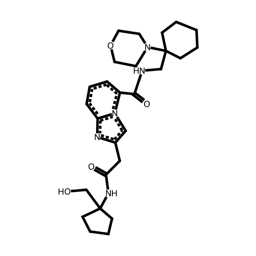 O=C(Cc1cn2c(C(=O)NCC3(N4CCOCC4)CCCCC3)cccc2n1)NC1(CO)CCCC1